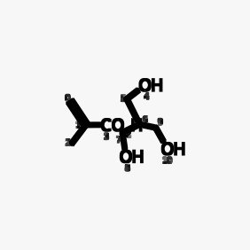 C=C(C)C(=O)O.OCC(CO)CO